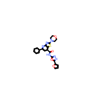 O=C(Nc1nnc(-c2ccco2)o1)c1cc(-c2ccccc2)nc2nc(N3CCOCC3)sc12